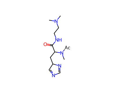 CC(=O)N(C)C(CC1C=NC=N1)C(=O)NCCN(C)C